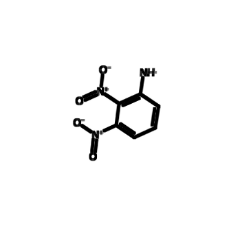 [NH]c1cccc([N+](=O)[O-])c1[N+](=O)[O-]